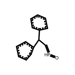 O=[PH]=CC(c1ccccc1)c1ccccc1